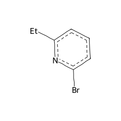 CCc1cccc(Br)n1